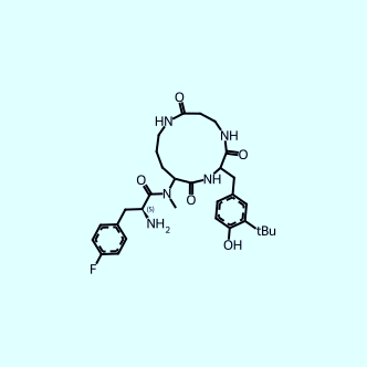 CN(C(=O)[C@@H](N)Cc1ccc(F)cc1)C1CCCNC(=O)CCNC(=O)C(Cc2ccc(O)c(C(C)(C)C)c2)NC1=O